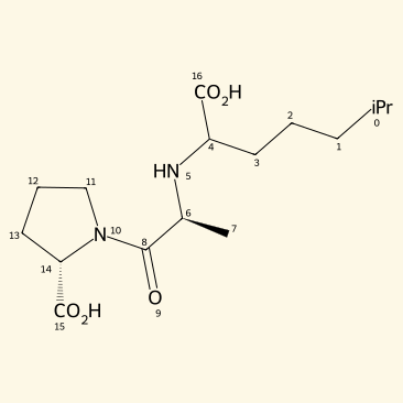 CC(C)CCCC(N[C@@H](C)C(=O)N1CCC[C@H]1C(=O)O)C(=O)O